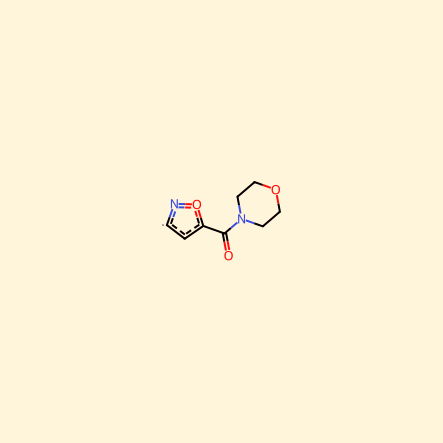 O=C(c1c[c]no1)N1CCOCC1